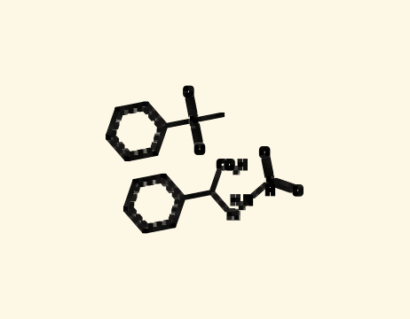 CCC(C(=O)O)c1ccccc1.CS(=O)(=O)c1ccccc1.N[SH](=O)=O